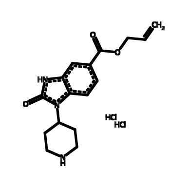 C=CCOC(=O)c1ccc2c(c1)[nH]c(=O)n2C1CCNCC1.Cl.Cl